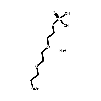 COCCOCCOCCOP(=O)(O)O.[NaH]